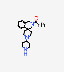 CCCC(=O)N1Cc2ccccc2C2(CCN(C3CCNCC3)CC2)C1